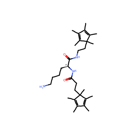 CC1=C(C)C(C)(CCNC(=O)[C@H](CCCCN)NC(=O)CCC2(C)C(C)=C(C)C(C)=C2C)C(C)=C1C